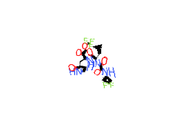 O=C(NC1CC(F)(F)C1)C(=O)N[C@@H](CC1CC1)C(=O)N[C@@H](C[C@@H]1CCNC1=O)C(=O)COC(F)(F)F